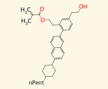 C=C(C)C(=O)OCCc1cc(CCO)ccc1-c1ccc2cc(C3CCC(CCCCC)CC3)ccc2c1